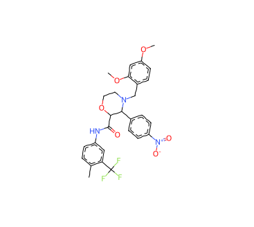 COc1ccc(CN2CCOC(C(=O)Nc3ccc(C)c(C(F)(F)F)c3)C2c2ccc([N+](=O)[O-])cc2)c(OC)c1